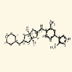 Cc1n[nH]cc1-c1cc(C(F)(F)F)c(N[C@H]2C[C@@H]3CN(CC4CCOCC4)C[C@@H]3C2)nn1